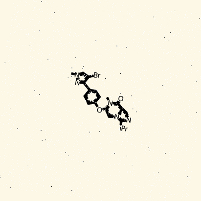 CC(C)c1ncc2c(=O)n(C)c(Oc3ccc(-c4nn(C)cc4Br)cc3)cn12